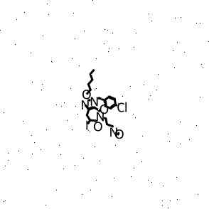 CCCCCOc1nc2c(n1Cc1ccc(Cl)cc1)C(=O)N(CCCN=O)C(=O)C(I)C2